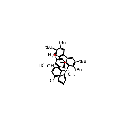 Cl.Cl.[CH2]=[Zr]([C]1=CC=CC1)([c]1ccc(C)cc1)([c]1cccc(Cl)c1)[c]1c2c(cc(C(C)(C)C)c1C(C)(C)C)-c1cc(C(C)(C)C)c(C(C)(C)C)cc1C2